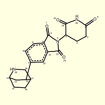 O=C1CCC(N2C(=O)c3ccc(C4CC5CCC4CN5)cc3C2=O)C(=O)N1